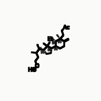 C=C1CC[C@@H]([C@@H]2CC[C@H]([C@H](C)C(C)CCOO)C2(C)C)[C@H](CC)[C@@]1(C)CCC(C)=O